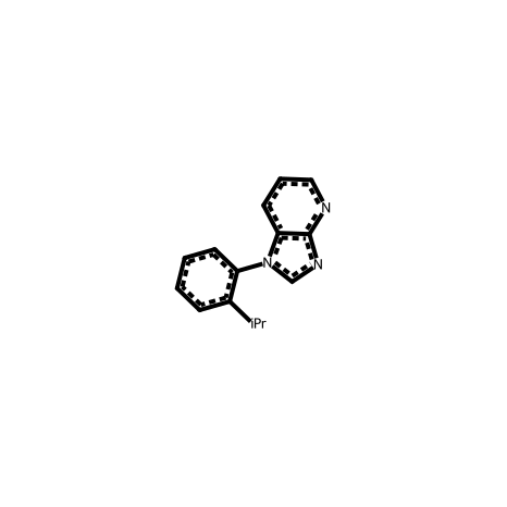 CC(C)c1ccccc1-n1cnc2ncccc21